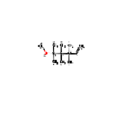 C=C[Si](C)(C)[Si](C)(C)[Si](C)(C)OC